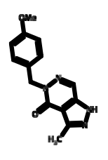 COc1ccc(Cn2ncc3[nH]nc(C)c3c2=O)cc1